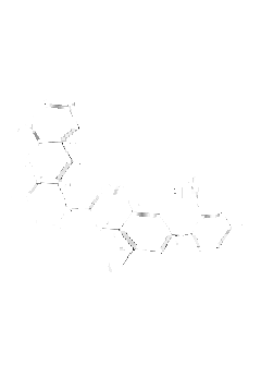 CCCCN(C(=O)Nc1c(C(C)C)cc(-c2ccccc2N)cc1C(C)C)c1cc2cccnc2[nH]c1=O